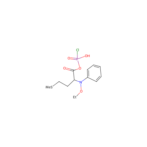 CCON(c1ccccc1)C(CCSC)C(=O)OP(=O)(O)Cl